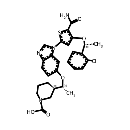 C[C@@H](Oc1cc(-n2cnc3ccc(O[C@H](C)[C@@H]4CCCN(C(=O)O)C4)cc32)sc1C(N)=O)c1ccccc1Cl